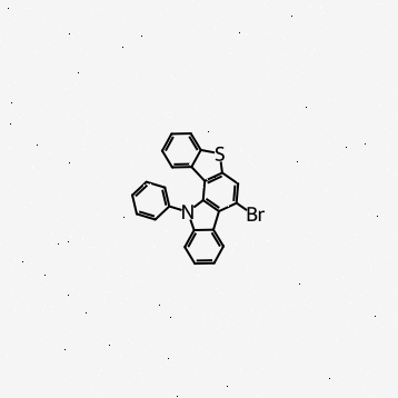 Brc1cc2sc3ccccc3c2c2c1c1ccccc1n2-c1ccccc1